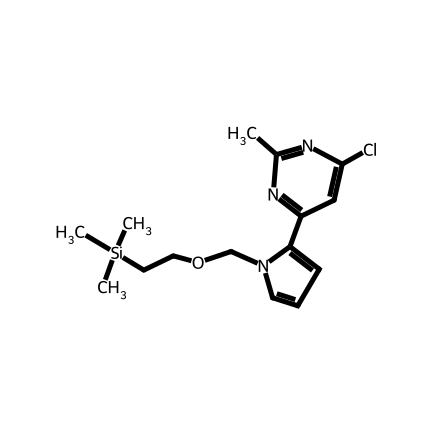 Cc1nc(Cl)cc(-c2cccn2COCC[Si](C)(C)C)n1